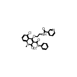 CCN(C(=O)c1c(OCCNC(=O)c2cccnc2)c2c(Cl)cccc2n(C)c1=O)c1ccccc1